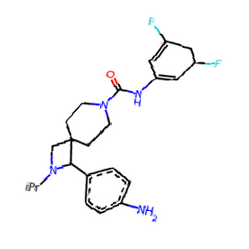 CC(C)N1CC2(CCN(C(=O)NC3=CC(F)CC(F)=C3)CC2)C1c1ccc(N)cc1